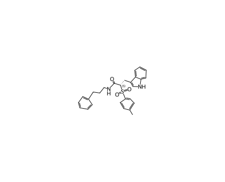 Cc1ccc(S(=O)(=O)[C@@H](Cc2c[nH]c3ccccc23)C(=O)NCCCc2ccccc2)cc1